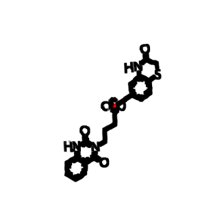 O=C1CSc2ccc(N3CC4(CCCn5c(=O)[nH]c6ccccc6c5=O)OC3O4)cc2N1